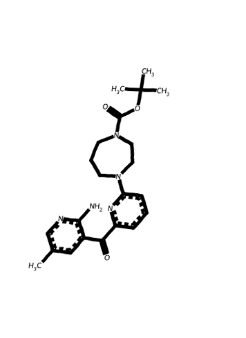 Cc1cnc(N)c(C(=O)c2cccc(N3CCCN(C(=O)OC(C)(C)C)CC3)n2)c1